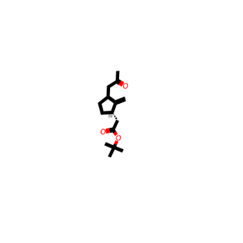 C=C1C(CC(C)=O)CC[C@H]1CC(=O)OC(C)(C)C